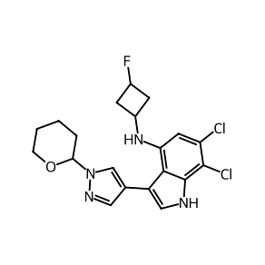 FC1CC(Nc2cc(Cl)c(Cl)c3[nH]cc(-c4cnn(C5CCCCO5)c4)c23)C1